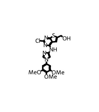 COc1cc(-n2cnc(Nc3nc(Cl)nc4sc(CO)cc34)c2)cc(OC)c1OC